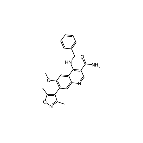 COc1cc2c(NCc3ccccc3)c(C(N)=O)cnc2cc1-c1c(C)noc1C